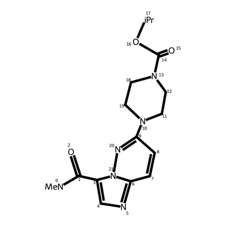 CNC(=O)c1cnc2ccc(N3CCN(C(=O)OC(C)C)CC3)nn12